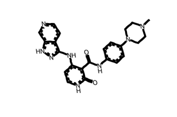 CN1CCN(c2ccc(NC(=O)c3c(Nc4n[nH]c5cnccc45)cc[nH]c3=O)cc2)CC1